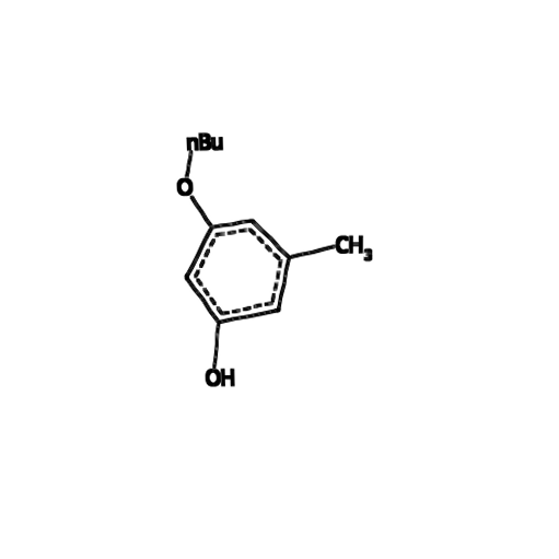 CCCCOc1cc(C)cc(O)c1